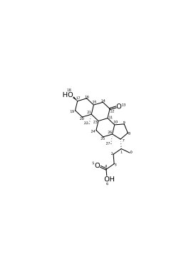 CC(CCC(=O)O)[C@H]1CCC2C3C(=O)CC4C[C@H](O)CC[C@]4(C)C3CC[C@@]21C